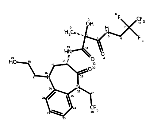 C[C@](O)(C(=O)NCC(F)(F)C(F)(F)F)C(=O)N[C@H]1CN(CCO)c2ccccc2N(CC(F)(F)F)C1=O